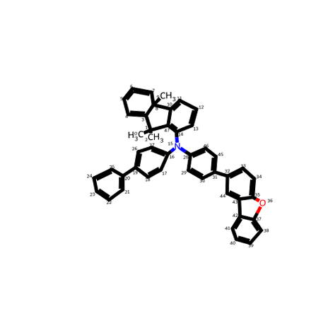 CC1(C)C2=CC=C=CC2(C)c2cccc(N(c3ccc(-c4ccccc4)cc3)c3ccc(-c4ccc5oc6ccccc6c5c4)cc3)c21